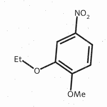 CCOc1cc([N+](=O)[O-])ccc1OC